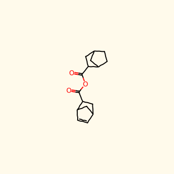 O=C(OC(=O)C1CC2CCC1C2)C1CC2C=CC1C2